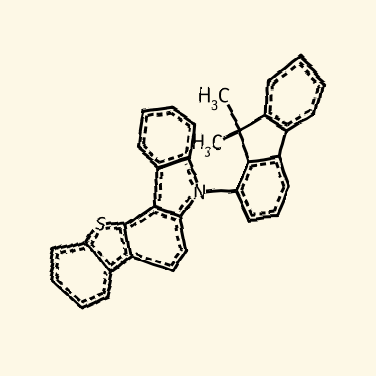 CC1(C)c2ccccc2-c2cccc(-n3c4ccccc4c4c5sc6ccccc6c5ccc43)c21